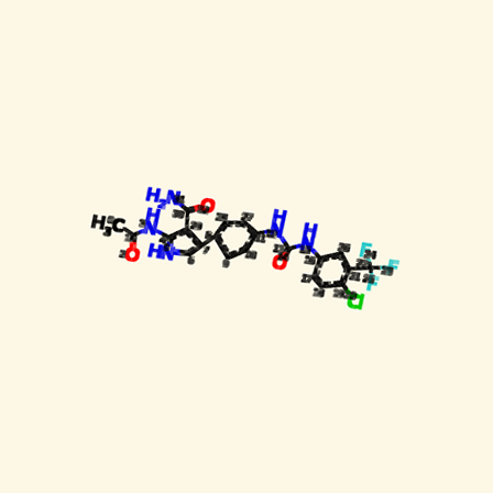 CC(=O)Nc1[nH]cc(-c2ccc(NC(=O)Nc3ccc(Cl)c(C(F)(F)F)c3)cc2)c1C(N)=O